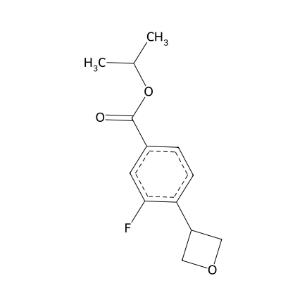 CC(C)OC(=O)c1ccc(C2COC2)c(F)c1